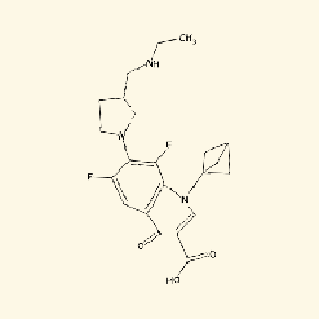 CCNCC1CCN(c2c(F)cc3c(=O)c(C(=O)O)cn(C45CC(C4)C5)c3c2F)C1